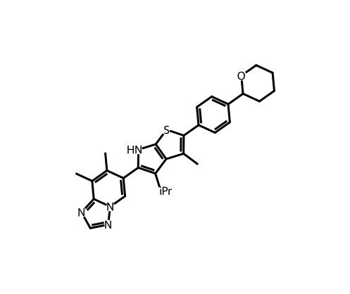 Cc1c(-c2[nH]c3sc(-c4ccc(C5CCCCO5)cc4)c(C)c3c2C(C)C)cn2ncnc2c1C